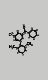 Cc1cccc(C)c1-c1cc(C(=O)c2ccccc2)nc(Cl)n1